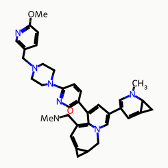 CNC(=O)C1=C2C(c3ccc(N4CCN(Cc5ccc(OC)nc5)CC4)nc3)=CC(C3=CN(C)C4CC4=C3)=CN2CC2CC2=C1